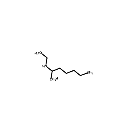 COCNC(CCCCN)C(=O)O